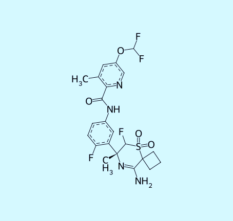 Cc1cc(OC(F)F)cnc1C(=O)Nc1ccc(F)c([C@@]2(C)N=C(N)C3(CCC3)S(=O)(=O)C2F)c1